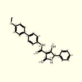 CSc1ccc(-c2ccc(NC(=O)C3=C(O)C(c4ccccc4)NC3=O)cc2)cc1